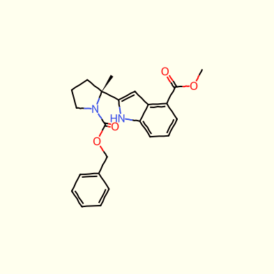 COC(=O)c1cccc2[nH]c([C@@]3(C)CCCN3C(=O)OCc3ccccc3)cc12